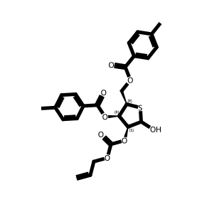 C=CCOC(=O)O[C@@H]1C(O)S[C@H](COC(=O)c2ccc(C)cc2)[C@@H]1OC(=O)c1ccc(C)cc1